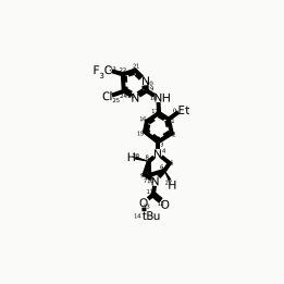 CCc1cc(N2C[C@H]3C[C@@H]2CN3C(=O)OC(C)(C)C)ccc1Nc1ncc(C(F)(F)F)c(Cl)n1